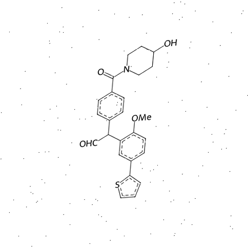 COc1ccc(-c2cccs2)cc1C(C=O)c1ccc(C(=O)N2CCC(O)CC2)cc1